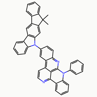 CC1(C)c2ccccc2-c2cc3c4ccccc4n(-c4ccc5nc6c7c(nccc7c5c4)-c4ccccc4N6c4ccccc4)c3cc21